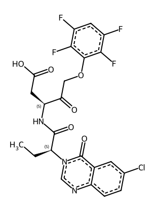 CC[C@@H](C(=O)N[C@@H](CC(=O)O)C(=O)COc1c(F)c(F)cc(F)c1F)n1cnc2ccc(Cl)cc2c1=O